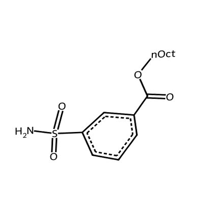 CCCCCCCCOC(=O)c1cccc(S(N)(=O)=O)c1